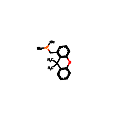 CC1(C)c2ccccc2Oc2cccc(CP(C(C)(C)C)C(C)(C)C)c21